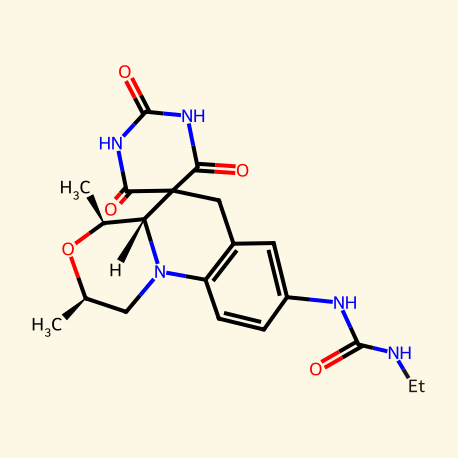 CCNC(=O)Nc1ccc2c(c1)CC1(C(=O)NC(=O)NC1=O)[C@H]1[C@H](C)O[C@H](C)CN21